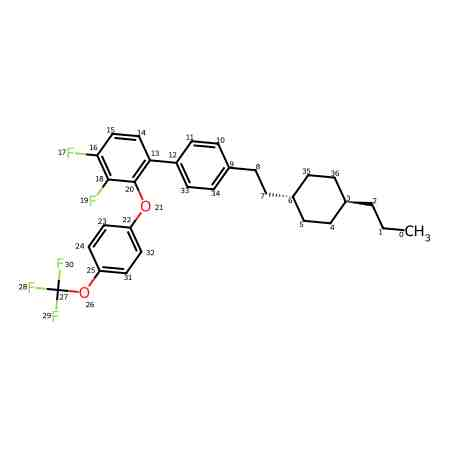 CCC[C@H]1CC[C@H](CCc2ccc(-c3ccc(F)c(F)c3Oc3ccc(OC(F)(F)F)cc3)cc2)CC1